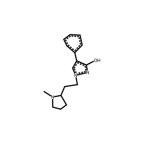 CN1CCCC1CCn1cc(-c2ccccc2)c(O)n1